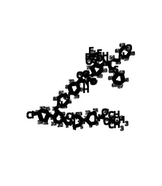 CC1(CN2CCC(C3CCN(C(=O)OC(C)(C)C)CC3)CC2)CCC(c2ccc(Cl)cc2)=C(CN2CCN(c3ccc(C(=O)NS(=O)(=O)c4ccc(N[C@H](CCN5CCOCC5)CSc5ccccc5)c(S(=O)(=O)C(F)(F)F)c4)cc3)CC2)C1